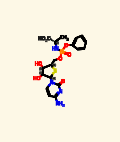 C[C@H](NP(=O)(OC[C@H]1S[C@@H](n2ccc(N)nc2=O)[C@@H](O)[C@@H]1O)Oc1ccccc1)C(=O)O